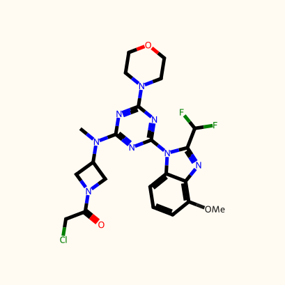 COc1cccc2c1nc(C(F)F)n2-c1nc(N2CCOCC2)nc(N(C)C2CN(C(=O)CCl)C2)n1